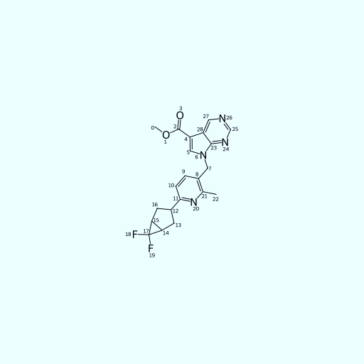 COC(=O)c1cn(Cc2ccc(C3CC4C(C3)C4(F)F)nc2C)c2ncncc12